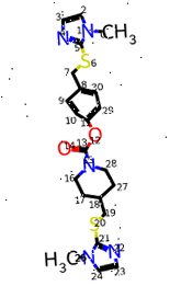 Cn1ccnc1SCc1ccc(OC(=O)N2CCC(CSc3nccn3C)CC2)cc1